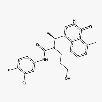 C[C@@H](c1c[nH]c(=O)c2c(F)cccc12)N(CCCO)C(=O)Nc1ccc(F)c(Cl)c1